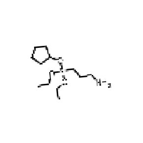 CCO[Si](CCCN)(OCC)OC1CCCC1